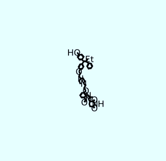 CCC(=C(c1ccc(O)cc1)c1ccc(OCCN2CCN(CCOc3cccc4c(=O)n(C5CCC(=O)NC5=O)c(C)nc34)CC2)cc1)c1ccccc1